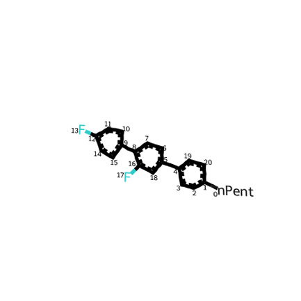 CCCCCc1ccc(-c2ccc(-c3ccc(F)cc3)c(F)c2)cc1